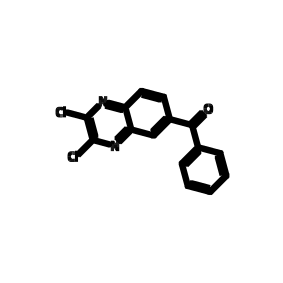 O=C(c1ccccc1)c1ccc2nc(Cl)c(Cl)nc2c1